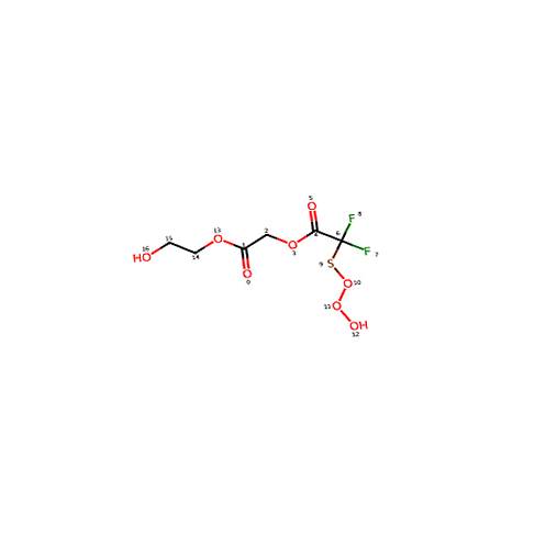 O=C(COC(=O)C(F)(F)SOOO)OCCO